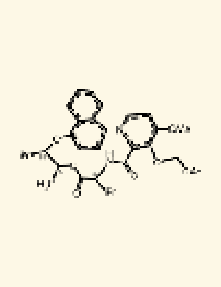 COc1ccnc(C(=O)N[C@H](C(=O)O[C@@H](C)[C@H](Oc2cccc3ccccc23)C(C)C)C(C)C)c1OCOC(C)=O